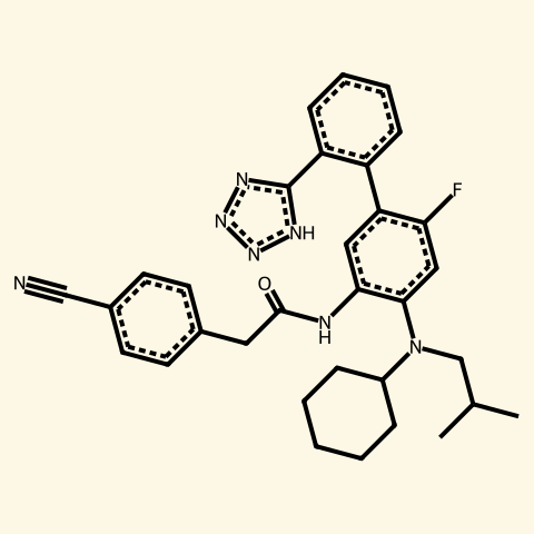 CC(C)CN(c1cc(F)c(-c2ccccc2-c2nnn[nH]2)cc1NC(=O)Cc1ccc(C#N)cc1)C1CCCCC1